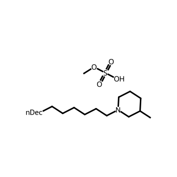 CCCCCCCCCCCCCCCCN1CCCC(C)C1.COS(=O)(=O)O